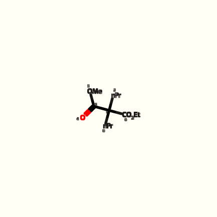 CCCC(CCC)(C(=O)OC)C(=O)OCC